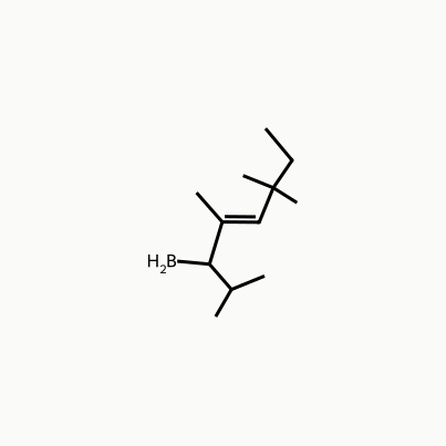 BC(/C(C)=C/C(C)(C)CC)C(C)C